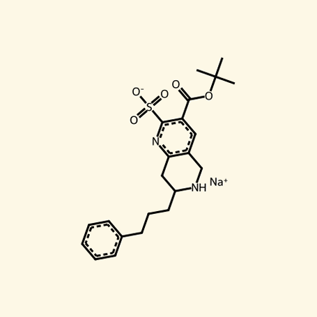 CC(C)(C)OC(=O)c1cc2c(nc1S(=O)(=O)[O-])CC(CCCc1ccccc1)NC2.[Na+]